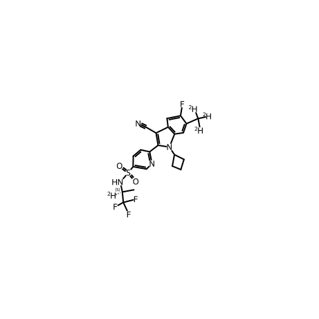 [2H]C([2H])([2H])c1cc2c(cc1F)c(C#N)c(-c1ccc(S(=O)(=O)N[C@@]([2H])(C)C(F)(F)F)cn1)n2C1CCC1